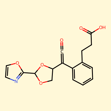 O=C=C(c1ccccc1CCC(=O)O)C1COC(c2ncco2)O1